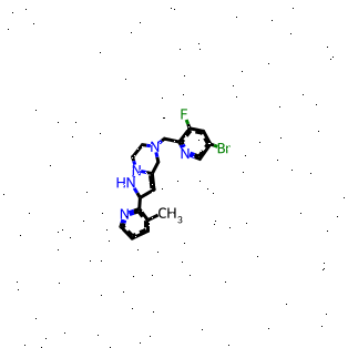 Cc1cccnc1C1C=C2CN(Cc3ncc(Br)cc3F)CCN2N1